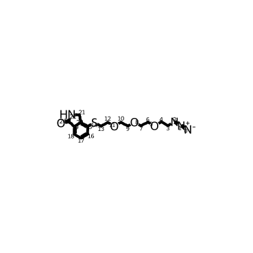 [N-]=[N+]=NCCOCCOCCOCCSc1cccc2c1CNC2=O